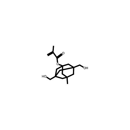 C=C(C)C(=O)OC12CC3(C)CC(CO)(CC(CO)(C3)C1)C2